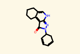 O=c1c2c3c(c[nH]c-2nn1C1C=CC=CC1)CCCC3